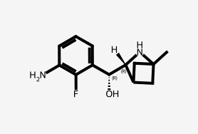 CC12CC(C1)[C@H]([C@H](O)c1cccc(N)c1F)N2